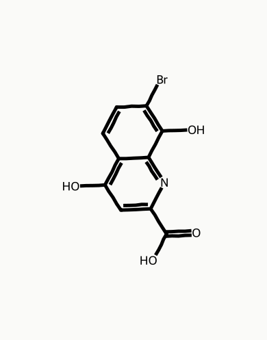 O=C(O)c1cc(O)c2ccc(Br)c(O)c2n1